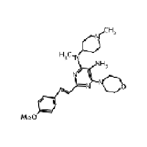 COc1ccc(C=Cc2nc(N3CCOCC3)c(N)c(N(C)C3CCN(C)CC3)n2)cc1